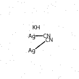 N#[C][Ag].N#[C][Ag].[KH]